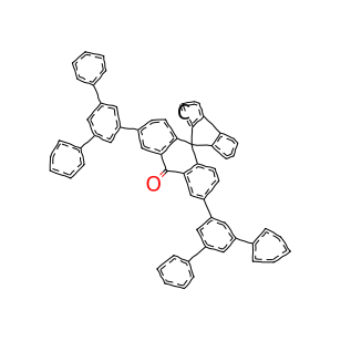 O=C1c2cc(-c3cc(-c4ccccc4)cc(-c4ccccc4)c3)ccc2C2(c3ccc(-c4cc(-c5ccccc5)cc(-c5ccccc5)c4)cc31)c1ccccc1-c1ccccc12